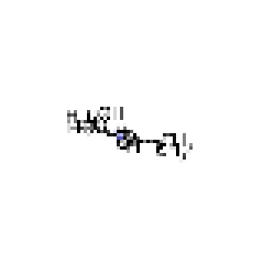 C=C1[C@H](O)CC(=C/C=C2\CCC[C@@H]3[C@@H](CCCCC(C)C)CC[C@@H]23)C[C@H]1O